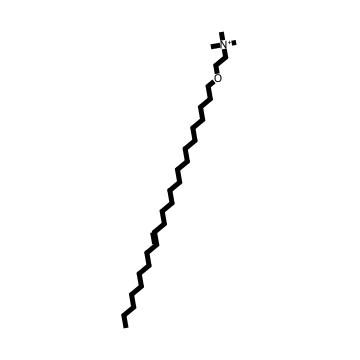 CCCCCCCCC=CCCCCCCCCCCCCCCOCC[N+](C)(C)C